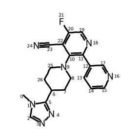 Cn1cnnc1C1CCN(c2c(-c3cccnc3)ncc(F)c2C#N)CC1